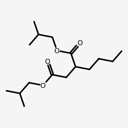 CCCCC(CC(=O)OCC(C)C)C(=O)OCC(C)C